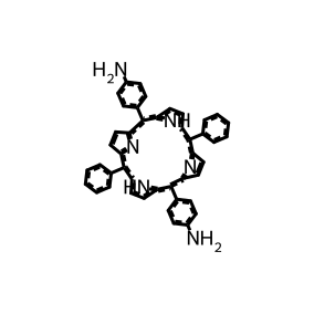 Nc1ccc(-c2c3nc(c(-c4ccccc4)c4ccc([nH]4)c(-c4ccc(N)cc4)c4nc(c(-c5ccccc5)c5ccc2[nH]5)C=C4)C=C3)cc1